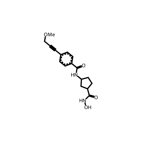 COCC#Cc1ccc(C(=O)NC2CCC(C(=O)NO)C2)cc1